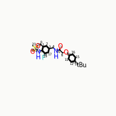 Cc1cc(CNC(=O)COc2ccc(C(C)(C)C)cc2)cc(F)c1NS(C)(=O)=O